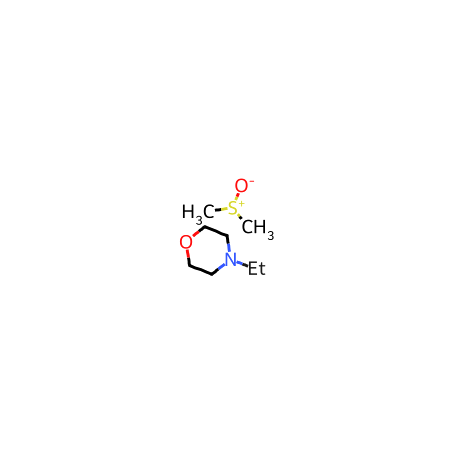 CCN1CCOCC1.C[S+](C)[O-]